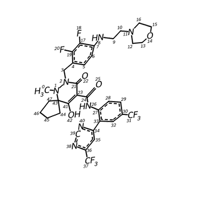 CN1N(Cc2ccc(NCCN3CCOCC3)c(F)c2F)C(=O)C(C(=O)Nc2ccc(C(F)(F)F)cc2-c2cc(C(F)(F)F)ncn2)=C(O)C12CCCC2